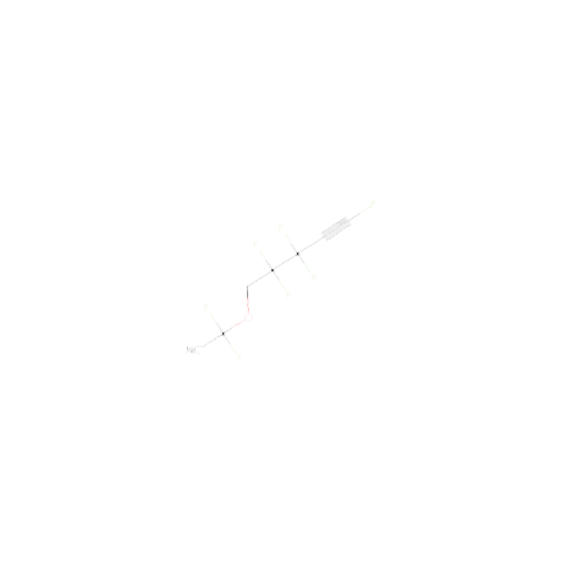 N#CC(F)(F)OCC(F)(F)C(F)(F)C#CF